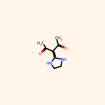 CC(=O)C(C(C)=O)=C1NCCN1